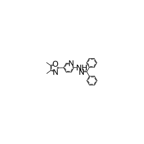 Cc1nc(-c2ccc(NN=C(c3ccccc3)c3ccccc3)nc2)oc1C